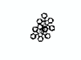 Fc1c(N2C(c3ccccc3)(c3ccccc3)c3ccccc3C2(c2ccccc2)c2ccccc2)cccc1N1C(c2ccccc2)(c2ccccc2)c2ccccc2C1(c1ccccc1)c1ccccc1